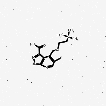 C[Si](C)(C)CCOCc1c(F)cnc2[nH]nc(C(=O)O)c12